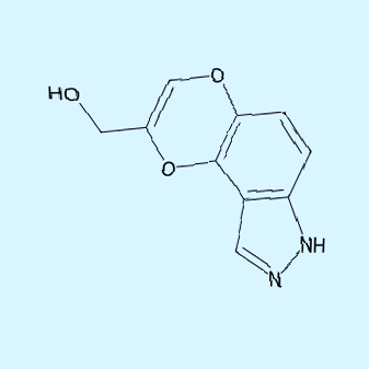 OCC1=COc2ccc3[nH]ncc3c2O1